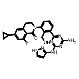 Nc1nc(Nc2cc[nH]n2)nc(-c2cccc(N3CCc4cc(C5CC5)cc(F)c4C3=O)c2CO)n1